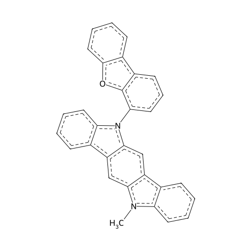 Cn1c2ccccc2c2cc3c(cc21)c1ccccc1n3-c1cccc2c1oc1ccccc12